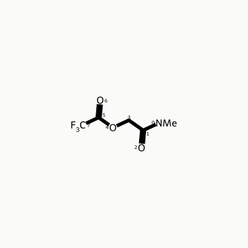 CNC(=O)COC(=O)C(F)(F)F